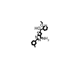 CCOc1ncccc1C(O)c1cc2c(N)nc(-c3cccc(C)c3)nc2s1